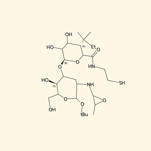 CCC(C)(C)[C@@H]1C(C(=O)NCCS)O[C@@H](OC2CC(NC3OC3C)C(OC(C)(C)C)OC(CO)[C@H]2O)C(O)C1O